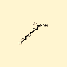 CCOCCOCCOC[C@H](NC)C(C)=O